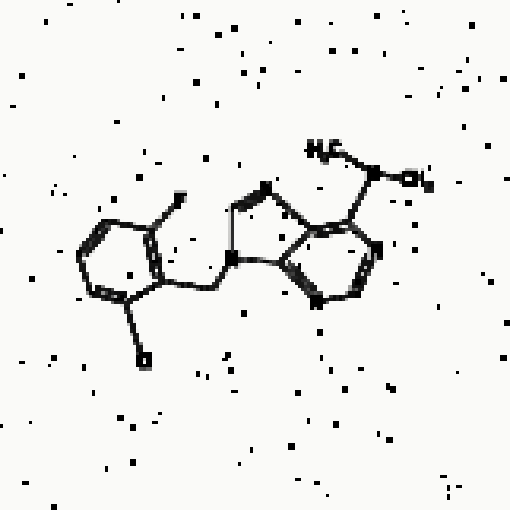 CN(C)c1ncnc2c1ncn2Cc1c(F)cccc1Cl